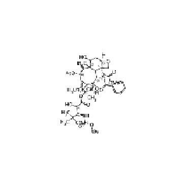 COC(=O)O[C@@]12CO[C@@H]1CC(O)[C@@]1(C)C(=O)[C@H](OC(C)=O)C3=C(C)[C@](C)(OC(=O)[C@H](O)[C@@H](NC(=O)OC(C)(C)C)C(C)(C)C(=O)O)C[C@@](O)([C@@H](OC(=O)c4ccccc4)C12)C3(C)C